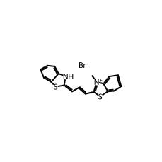 C[n+]1c(C=CC=C2Nc3ccccc3S2)sc2ccccc21.[Br-]